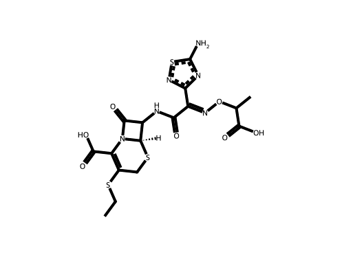 CCSC1=C(C(=O)O)N2C(=O)C(NC(=O)/C(=N/OC(C)C(=O)O)c3nsc(N)n3)[C@H]2SC1